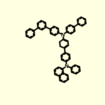 C1=C(c2ccc(N(c3ccccc3)c3cccc4ccccc34)cc2)CCC(N(c2ccc(-c3ccccc3)cc2)c2ccc(-c3cccc(-c4ccccc4)c3)cc2)=C1